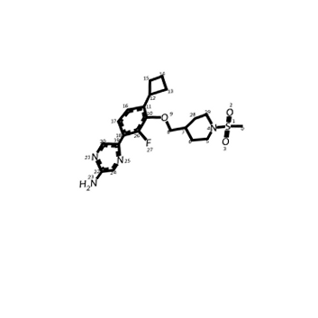 CS(=O)(=O)N1CCC(COc2c(C3CCC3)ccc(-c3cnc(N)cn3)c2F)CC1